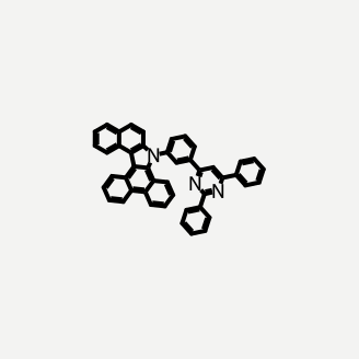 c1ccc(-c2cc(-c3cccc(-n4c5ccc6ccccc6c5c5c6ccccc6c6ccccc6c54)c3)nc(-c3ccccc3)n2)cc1